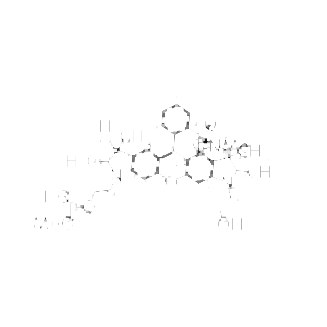 CNS(=O)(=O)c1ccccc1C1=c2cc3c(cc2Oc2cc4c(cc21)C(C)(C)C(C)N4CCO)=[N+](CCOP(O)OC)C(C)C3(C)C